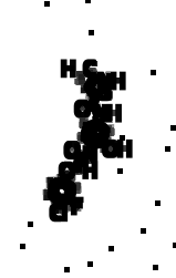 CC1CC(C(=O)NC23CCC(NC(=O)COc4ccc(Cl)c(F)c4)(CC2)C(O)C3)SN1